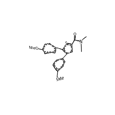 COc1ccc(-c2sc(C(=O)N(C)C)cc2-c2ccc(SC)cc2)cc1